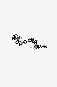 COC(=O)NC(C(=O)N1CCC[C@H]1c1nc2ccc(-c3ccc(-c4cnc([C@@H]5CCCN5C(=O)[C@@H](NC5OCO5)C(C)C)[nH]4)cc3)cc2[nH]1)C(C)(C)O